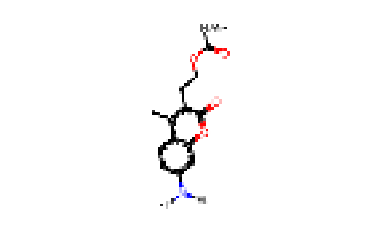 CCN(CC)c1ccc2c(C)c(CCOC(=O)NC)c(=O)oc2c1